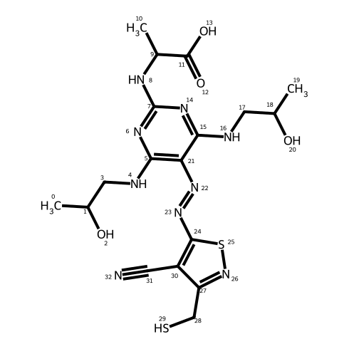 CC(O)CNc1nc(NC(C)C(=O)O)nc(NCC(C)O)c1N=Nc1snc(CS)c1C#N